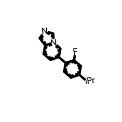 CC(C)c1ccc(-c2ccc3cncn3c2)c(F)c1